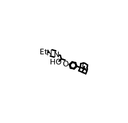 CCN1CCN(CC(O)COc2ccc(C34CC5CC6CC(C3)C64C5)cc2)CC1